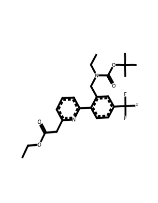 CCOC(=O)Cc1cccc(-c2ccc(C(F)(F)F)cc2CN(CC)C(=O)OC(C)(C)C)n1